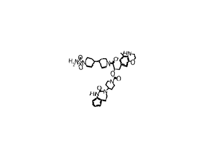 Cc1cc(C[C@@H](OC(=O)N2CCC(N3CCc4ccccc4NC3=O)CC2)C(=O)N2CCC(C3CCN(S(N)(=O)=O)CC3)CC2)cc2c1NCCO2